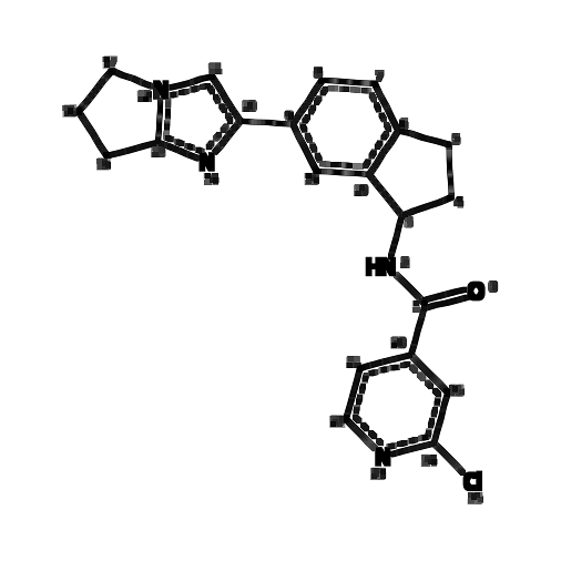 O=C(NC1CCc2ccc(-c3cn4c(n3)CCC4)cc21)c1ccnc(Cl)c1